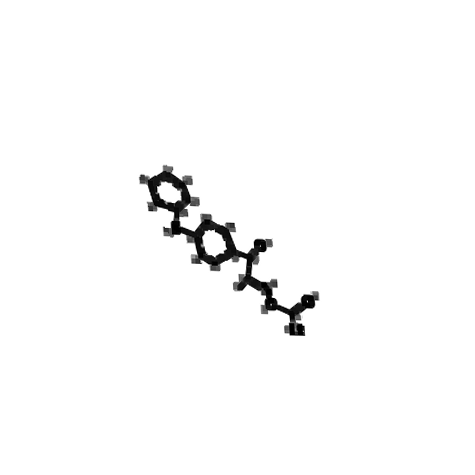 CCC(=O)O/N=C(\C)C(=O)c1ccc(Sc2ccccc2)cc1